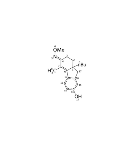 CCCCC12CCC(=NOC)C(C)=C1c1ccc(O)cc1C2